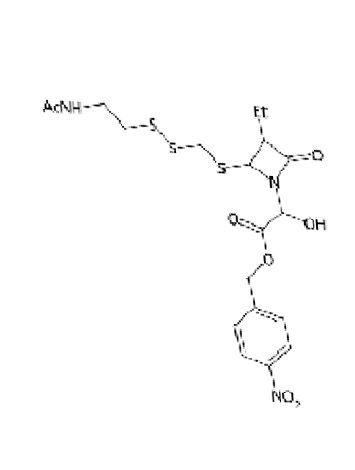 CCC1C(=O)N(C(O)C(=O)OCc2ccc([N+](=O)[O-])cc2)C1SCSSCCNC(C)=O